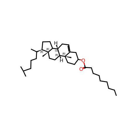 CCCCCCCCC(=O)OC1CC[C@@]2(C)C(=CC[C@H]3C4CC[C@H](C(C)CCCC(C)C)[C@@]4(C)CC[C@H]32)C1